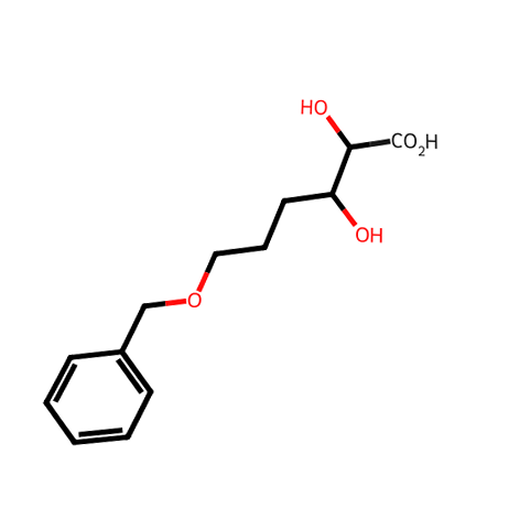 O=C(O)C(O)C(O)CCCOCc1ccccc1